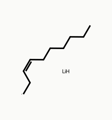 [CH2]C/C=C\CCCCCC.[LiH]